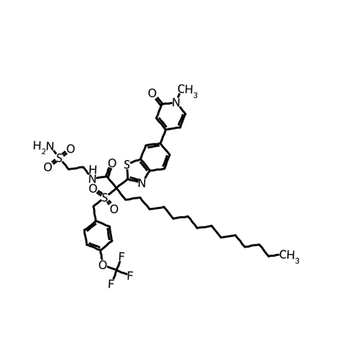 CCCCCCCCCCCCCCC(C(=O)NCCS(N)(=O)=O)(c1nc2ccc(-c3ccn(C)c(=O)c3)cc2s1)S(=O)(=O)Cc1ccc(OC(F)(F)F)cc1